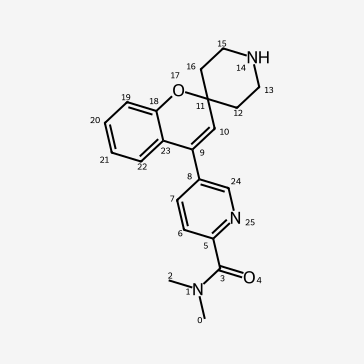 CN(C)C(=O)c1ccc(C2=CC3(CCNCC3)Oc3ccccc32)cn1